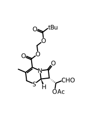 CC(=O)OC(C=O)[C@H]1C(=O)N2C(C(=O)OCOC(=O)C(C)(C)C)=C(C)CS[C@@H]12